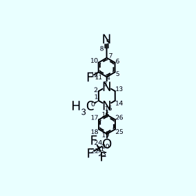 C[C@H]1CN(c2ccc(C#N)cc2F)CCN1c1ccc(OC(F)(F)F)cc1